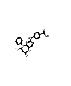 CC1CC(=O)Nc2cnc(Nc3ccc(C(=O)O)cc3)nc2N1c1ccccc1